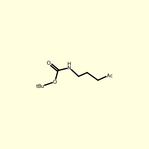 [CH2]C(=O)CCCNC(=O)OC(C)(C)C